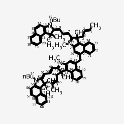 C/C=C/CC1(C)C(/C=C/C=C2/N(CCCC)c3ccc4ccccc4c3C2(C)C)=[N+](C)c2cc(Cc3cc4c(c5ccccc35)C(C)(C/C=C/C)C(/C=C/C=C3/N(CCCC)c5ccc6ccccc6c5C3(C)C)=[N+]4C)c3ccccc3c21